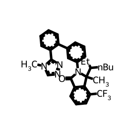 CCCCC(CC)C1(C)c2c(cccc2C(F)(F)F)C(=O)N1c1cccc(-c2ccccc2-c2nncn2C)c1